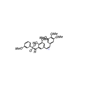 COc1cccc(S(=O)(=O)Nc2cc(/C=C\c3cc(OC)c(OC)c(OC)c3)cc(OC)c2O)c1